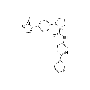 Cn1nccc1-c1ccc(N2CCC[C@H]2C(=O)Nc2ccc(-c3cccnc3)nc2)cc1